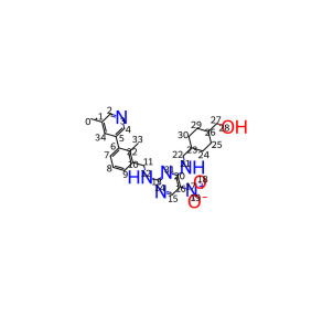 [CH2]c1cncc(-c2cccc(CNc3ncc([N+](=O)[O-])c(NCC4CCC(CO)CC4)n3)c2C)c1